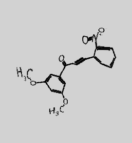 COc1cc(OC)cc(C(=O)C=Cc2ccccc2[N+](=O)[O-])c1